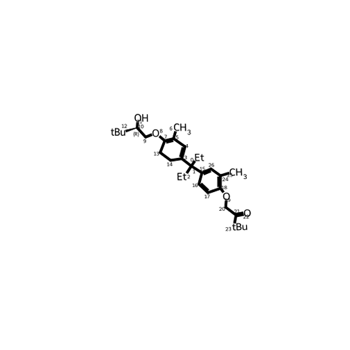 CCC(CC)(C1=CC(C)=C(OC[C@H](O)C(C)(C)C)CC1)c1ccc(OCC(=O)C(C)(C)C)c(C)c1